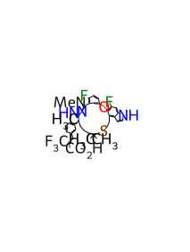 CN/C1=N\C(=N)C(C)(c2cccc(CC(C(=O)O)C(F)(F)F)c2)CCCC(C)(C)CSCCc2c(c(F)cc3[nH]ccc23)Oc2ccc(F)c1c2